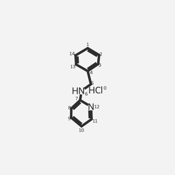 Cl.c1ccc(CNc2ccccn2)cc1